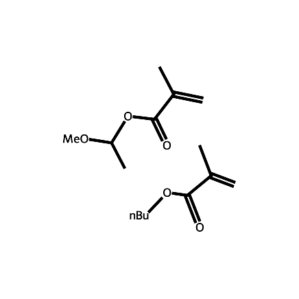 C=C(C)C(=O)OC(C)OC.C=C(C)C(=O)OCCCC